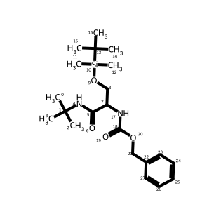 CC(C)(C)NC(=O)C(CO[Si](C)(C)C(C)(C)C)NC(=O)OCc1ccccc1